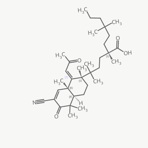 CCCC(C)(C)CC[C@@](C)(CCC(C)(C)[C@]1(C)CC[C@H]2C(C)(C)C(=O)C(C#N)=C[C@]2(C)/C1=C/C(C)=O)C(=O)O